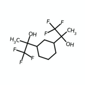 CC(O)(C1CCCC(C(C)(O)C(F)(F)F)C1)C(F)(F)F